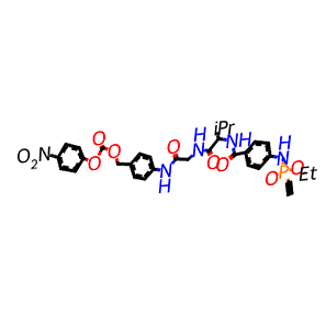 C#CP(=O)(Nc1ccc(C(=O)NC(C(=O)NCC(=O)Nc2ccc(COC(=O)Oc3ccc([N+](=O)[O-])cc3)cc2)C(C)C)cc1)OCC